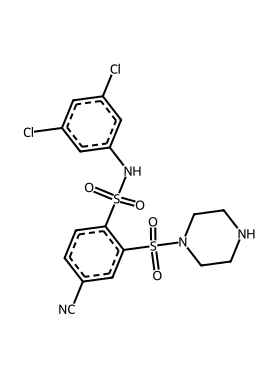 N#Cc1ccc(S(=O)(=O)Nc2cc(Cl)cc(Cl)c2)c(S(=O)(=O)N2CCNCC2)c1